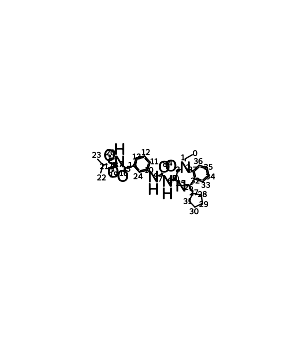 CCN1C(=O)[C@H](NC(=O)Nc2cccc(C(=O)NS(=O)(=O)C(C)C)c2)N=C(C2CCCC2)c2ccccc21